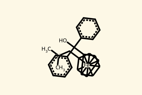 CN(C)C[C]12[CH]3[CH]4[CH]5[CH]1[Fe]45321678[CH]2[CH]1[CH]6[C]7(C(O)(c1ccccc1)c1ccccc1)[CH]28